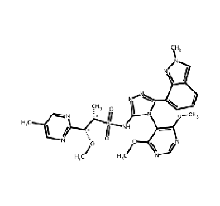 COc1ncnc(OC)c1-n1c(NS(=O)(=O)[C@@H](C)[C@H](OC)c2ncc(C)cn2)nnc1-c1cccc2cn(C)nc12